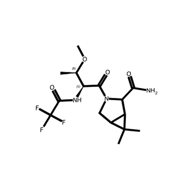 CO[C@H](C)[C@H](NC(=O)C(F)(F)F)C(=O)N1CC2C(C1C(N)=O)C2(C)C